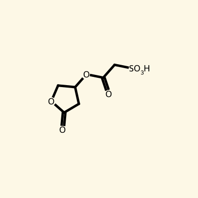 O=C1CC(OC(=O)CS(=O)(=O)O)CO1